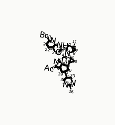 CC(=O)c1nn(CC(=O)N2C3=C[C@@]3(C)C[C@H]2C(=O)Nc2nc(Br)ccc2C)c2c(C3CC3)cc(-c3cnc(C)nc3)cc12